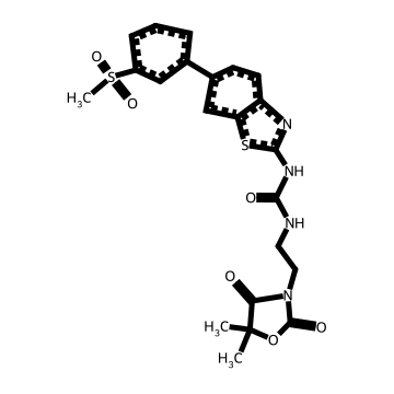 CC1(C)OC(=O)N(CCNC(=O)Nc2nc3ccc(-c4cccc(S(C)(=O)=O)c4)cc3s2)C1=O